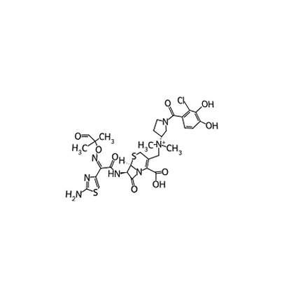 CC(C)(C=O)O/N=C(\C(=O)N[C@@H]1C(=O)N2C(C(=O)O)=C(C[N+](C)(C)[C@@H]3CCN(C(=O)c4ccc(O)c(O)c4Cl)C3)CS[C@H]12)c1csc(N)n1